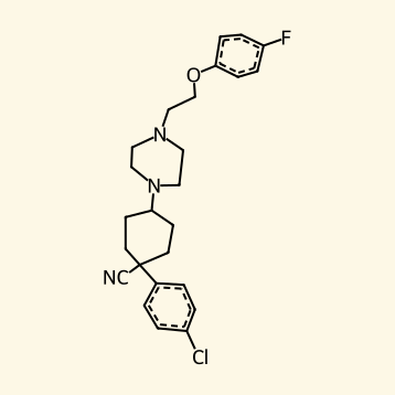 N#CC1(c2ccc(Cl)cc2)CCC(N2CCN(CCOc3ccc(F)cc3)CC2)CC1